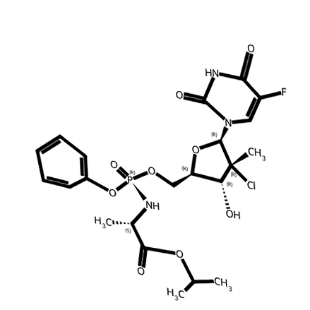 CC(C)OC(=O)[C@H](C)N[P@@](=O)(OC[C@H]1O[C@@H](n2cc(F)c(=O)[nH]c2=O)[C@](C)(Cl)[C@@H]1O)Oc1ccccc1